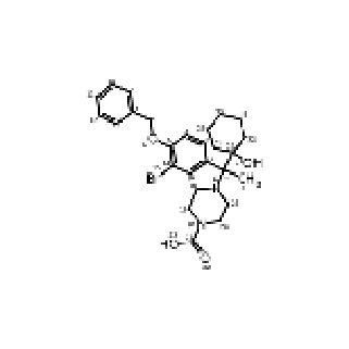 CC(c1ccc(OCc2ccccc2)c(Br)c1)(N1CCN(C(=O)O)CC1)C1(O)CCCCC1